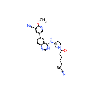 COc1ncc(-c2ccc3ncnc(N[C@H]4CCN(C(=O)CCCC[Se]C#N)C4)c3c2)cc1C#N